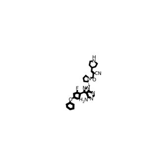 N#C/C(=C\C1CCNCC1)C(=O)N1CCC[C@H]1Cn1nc(-c2ccc(Oc3ccccc3)cc2F)c2c(N)ncnc21